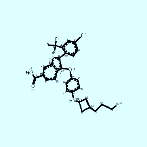 CC(F)(F)c1cc(F)ccc1-c1sc2cc(C(=O)O)ccc2c1Oc1ccc(NC2CC(CCCF)C2)cc1